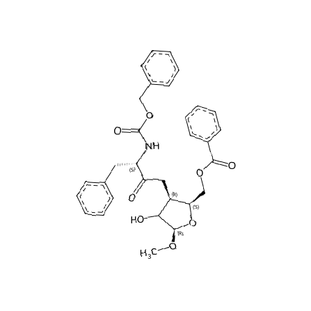 CO[C@@H]1O[C@H](COC(=O)c2ccccc2)[C@H](CC(=O)[C@H](Cc2ccccc2)NC(=O)OCc2ccccc2)C1O